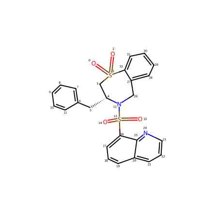 O=S1(=O)C[C@@H](Cc2ccccc2)N(S(=O)(=O)c2cccc3cccnc23)Cc2ccccc21